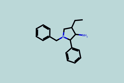 CCC1CN(Cc2ccccc2)C(c2ccccc2)C1N